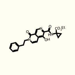 CCOC(=O)C1(NC(=O)c2ncc3c(=O)n(CCc4ccccc4)ccc3c2O)CC1